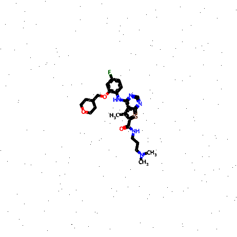 Cc1c(C(=O)NCCCN(C)C)sc2ncnc(Nc3ccc(F)cc3OCC3CCOCC3)c12